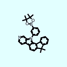 CC1(C)c2ccccc2-c2c1ccc1c3ccncc3n(-c3cccc(B4OC(C)(C)C(C)(C)O4)c3)c21